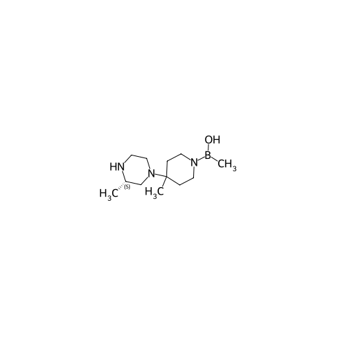 CB(O)N1CCC(C)(N2CCN[C@@H](C)C2)CC1